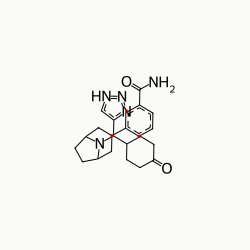 NC(=O)c1cccc(C2CC3CCC(C2)N3C(c2c[nH]nn2)C2CCC(=O)CC2)c1